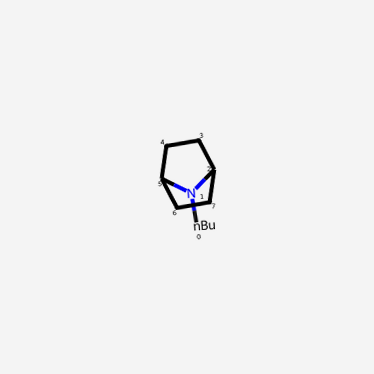 [CH2]CCCN1C2CCC1CC2